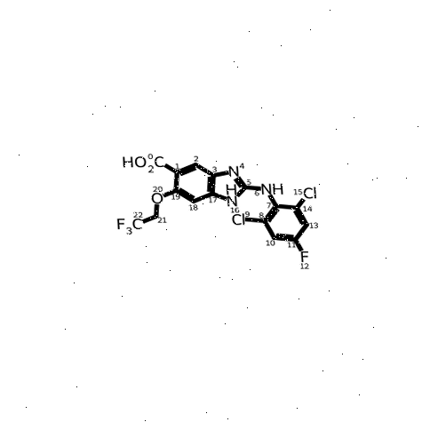 O=C(O)c1cc2nc(Nc3c(Cl)cc(F)cc3Cl)[nH]c2cc1OCC(F)(F)F